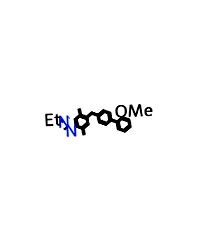 CCN(C)/C=N\c1cc(C)c(Cc2ccc(-c3ccccc3OC)cc2)cc1C